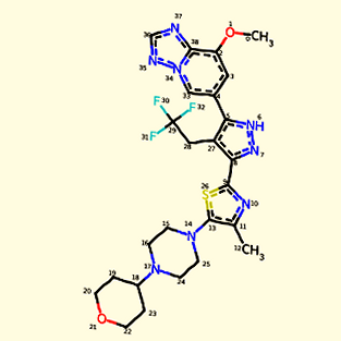 COc1cc(-c2[nH]nc(-c3nc(C)c(N4CCN(C5CCOCC5)CC4)s3)c2CC(F)(F)F)cn2ncnc12